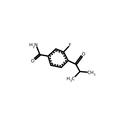 CC(C)C(=O)c1ccc(C(N)=O)cc1F